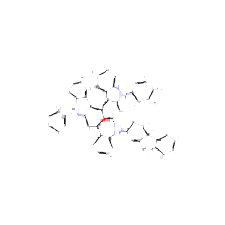 c1ccc(-n2c3ccccc3c3ccc(-c4ccccc4N(c4ccc5c(c4)sc4ccccc45)c4ccc5c6ccccc6n(-c6ccccc6)c5c4)cc32)cc1